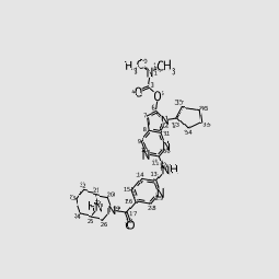 CN(C)C(=O)Oc1cc2cnc(Nc3ccc(C(=O)N4CC5CCCC(C4)N5)cn3)nc2n1C1CCCC1